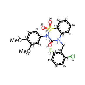 COc1ccc(N2C(=O)N(Cc3c(F)cccc3Cl)c3ccccc3S2(=O)=O)cc1OC